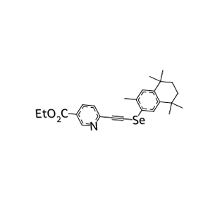 CCOC(=O)c1ccc(C#C[Se]c2cc3c(cc2C)C(C)(C)CCC3(C)C)nc1